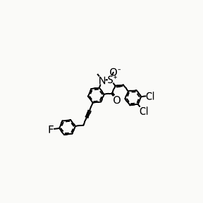 CN1c2ccc(C#CCc3ccc(F)cc3)cc2C(=O)/C(=C\c2ccc(Cl)c(Cl)c2)[S+]1[O-]